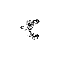 O=C(Cc1cccs1)NC1C(=O)N2C(C(=O)O)=C(C=CSc3sc4ccsc4c(=O)c3Br)CS[C@@H]12